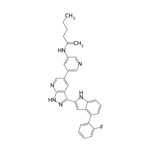 C=C(CCCC)Nc1cncc(-c2cnc3[nH]nc(-c4cc5c(-c6ccccc6F)cccc5[nH]4)c3c2)c1